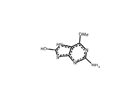 COc1nc(N)nc2nc(O)[nH]c12